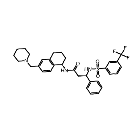 O=C(C[C@@H](NS(=O)(=O)c1cccc(C(F)(F)F)c1)c1ccccc1)N[C@@H]1CCCc2cc(CN3CCCCC3)ccc21